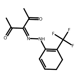 CC(=O)C(=NNC1=C(C(F)(F)F)CCC=C1)C(C)=O